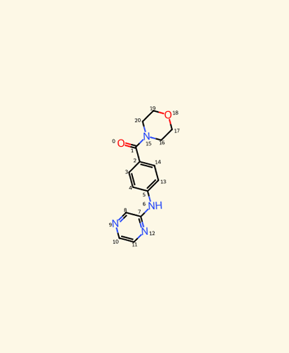 O=C(c1ccc(Nc2cnccn2)cc1)N1CCOCC1